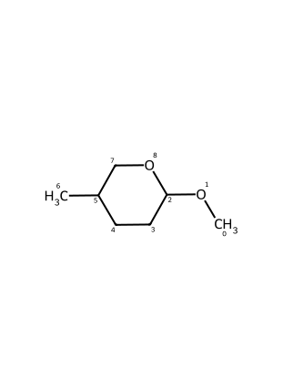 COC1CCC(C)CO1